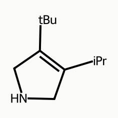 CC(C)C1=C(C(C)(C)C)CNC1